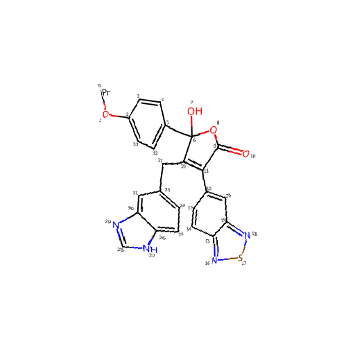 CC(C)Oc1ccc(C2(O)OC(=O)C(c3ccc4nsnc4c3)=C2Cc2ccc3[nH]cnc3c2)cc1